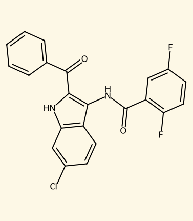 O=C(Nc1c(C(=O)c2ccccc2)[nH]c2cc(Cl)ccc12)c1cc(F)ccc1F